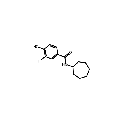 N#Cc1ccc(C(=O)NC2CCCCCC2)cc1F